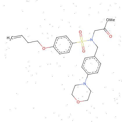 C=CCCOc1ccc(S(=O)(=O)N(CC(=O)OC)Cc2ccc(N3CCOCC3)cc2)cc1